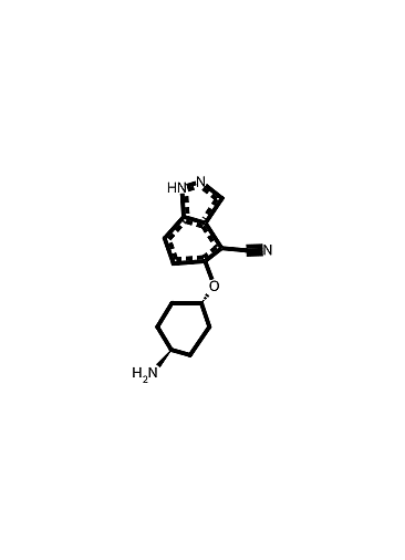 N#Cc1c(O[C@H]2CC[C@H](N)CC2)ccc2[nH]ncc12